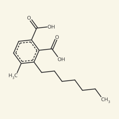 CCCCCCCc1c(C)ccc(C(=O)O)c1C(=O)O